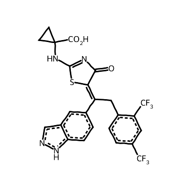 O=C1N=C(NC2(C(=O)O)CC2)SC1=C(Cc1ccc(C(F)(F)F)cc1C(F)(F)F)c1ccc2[nH]ncc2c1